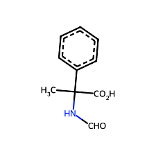 CC(NC=O)(C(=O)O)c1ccccc1